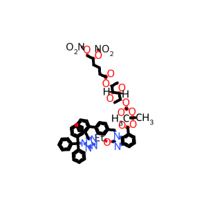 CCOc1nc2cccc(C(=O)OC(C)(C)OC(=O)O[C@@H]3CO[C@H]4[C@@H]3OC[C@H]4OC(=O)CCCC(CO[N+](=O)[O-])O[N+](=O)[O-])c2n1Cc1ccc(-c2ccccc2-c2nnnn2C(c2ccccc2)(c2ccccc2)c2ccccc2)cc1